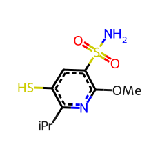 COc1nc(C(C)C)c(S)cc1S(N)(=O)=O